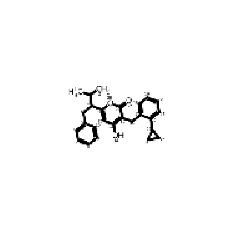 CC(C)C(Cc1ccccc1)c1cc(O)c(Cc2ccccc2C2CC2)c(=O)o1